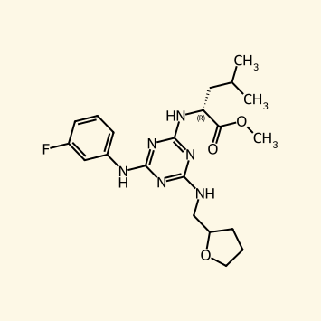 COC(=O)[C@@H](CC(C)C)Nc1nc(NCC2CCCO2)nc(Nc2cccc(F)c2)n1